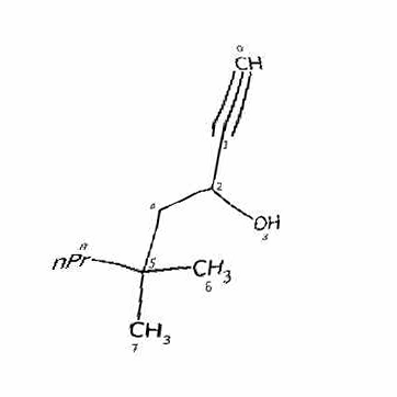 C#CC(O)CC(C)(C)CCC